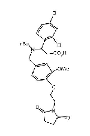 CCCCN(Cc1ccc(OCCN2C(=O)CCC2=O)c(OC)c1)C(CC(=O)O)c1ccc(Cl)cc1Cl